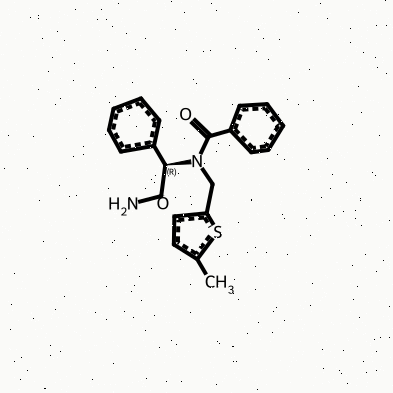 Cc1ccc(CN(C(=O)c2ccccc2)[C@@H](C(N)=O)c2ccccc2)s1